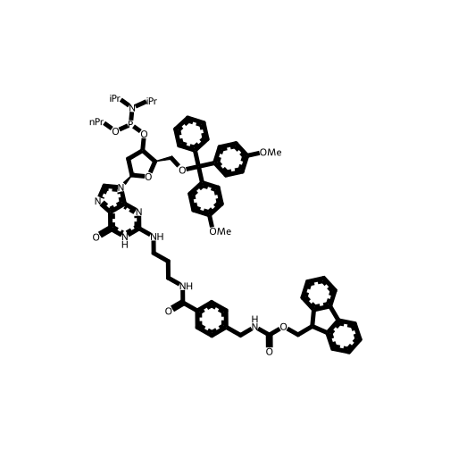 CCCOP(OC1C[C@H](n2cnc3c(=O)[nH]c(NCCCNC(=O)c4ccc(CNC(=O)OCC5c6ccccc6-c6ccccc65)cc4)nc32)O[C@@H]1COC(c1ccccc1)(c1ccc(OC)cc1)c1ccc(OC)cc1)N(C(C)C)C(C)C